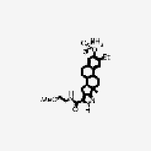 CCc1cc2c(cc1OS(N)(=O)=O)CCC1C2CCC2(C)c3n[nH]c(C(=O)NCCOC)c3CC12